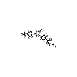 COC(=O)c1ccc(C2CC(c3ccc(C(F)(F)F)cc3)CN2C)cc1